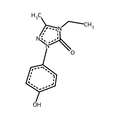 CCn1c(C)nn(-c2ccc(O)cc2)c1=O